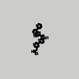 CCNCc1cncc(-c2ccc3[nH]nc(-c4nc5c(-c6ccccn6)ccnc5[nH]4)c3n2)c1